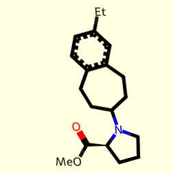 CCc1ccc2c(c1)CCC(N1CCC[C@H]1C(=O)OC)CC2